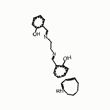 C1=C\CCCC\C=C/1.Oc1ccccc1/C=N/CC/N=C/c1ccccc1O.[Rh]